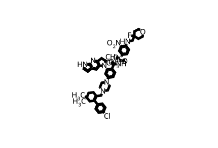 CC1(C)CCC(CN2CCN(c3ccc(C(=O)NS(=O)(=O)c4ccc(NCC5(F)CCOCC5)c([N+](=O)[O-])c4)c(N4c5cc6cc[nH]c6nc5CC4(C)C)c3)CC2)=C(c2ccc(Cl)cc2)C1